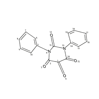 O=C1C(=O)N(c2ccccc2)C(=O)N(c2ccccc2)C1=O